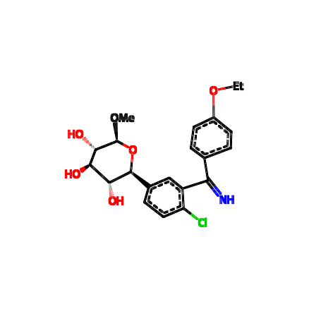 CCOc1ccc(C(=N)c2cc([C@@H]3O[C@H](OC)[C@@H](O)[C@H](O)[C@H]3O)ccc2Cl)cc1